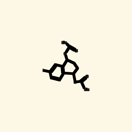 CC(C)(C)C(=O)OC1CCC(OC(=O)C(C)(C)C)c2cc(I)ccc21